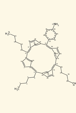 CCCCCC1=C2C=CC(=N2)C(CCCCC)=C2C=CC(=N2)C(c2ccc(N)cc2)=C2C=CC(=N2)C(CCCCC)=C2C=CC1=N2